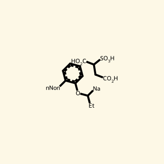 CCCCCCCCCc1ccccc1O[CH]([Na])CC.O=C(O)CC(C(=O)O)S(=O)(=O)O